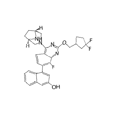 Oc1cc(-c2ccc3c(N4C[C@H]5CC[C@@H](C4)N5)nc(OCC4CCC(F)(F)C4)nc3c2F)c2ccccc2c1